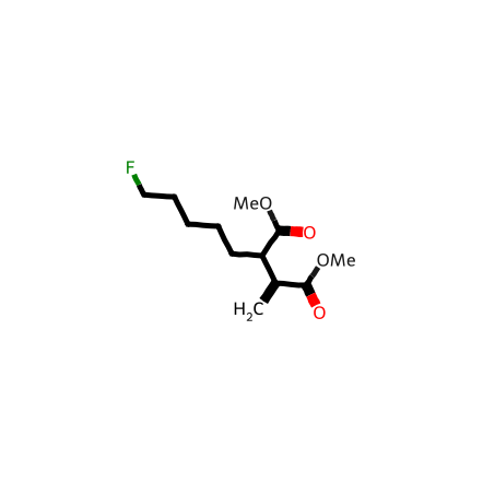 C=C(C(=O)OC)C(CCCCCF)C(=O)OC